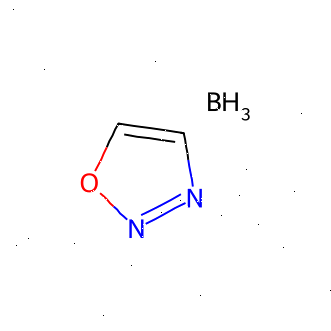 B.c1conn1